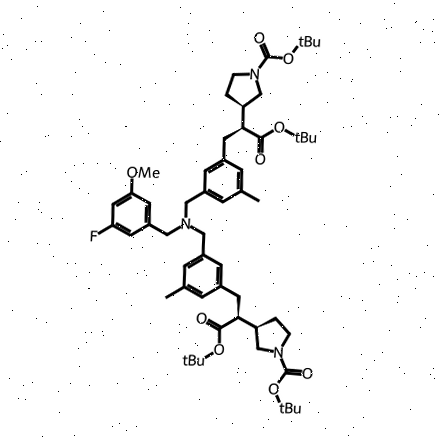 COc1cc(F)cc(CN(Cc2cc(C)cc(C[C@H](C(=O)OC(C)(C)C)[C@H]3CCN(C(=O)OC(C)(C)C)C3)c2)Cc2cc(C)cc(C[C@H](C(=O)OC(C)(C)C)[C@H]3CCN(C(=O)OC(C)(C)C)C3)c2)c1